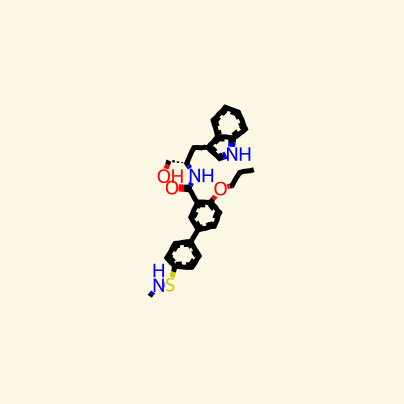 CCCOc1ccc(-c2ccc(SNC)cc2)cc1C(=O)N[C@H](CO)Cc1c[nH]c2ccccc12